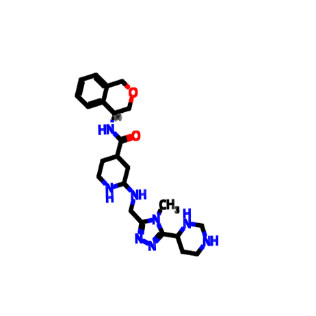 Cn1c(CNC2CC(C(=O)N[C@H]3COCc4ccccc43)CCN2)nnc1C1CCNCN1